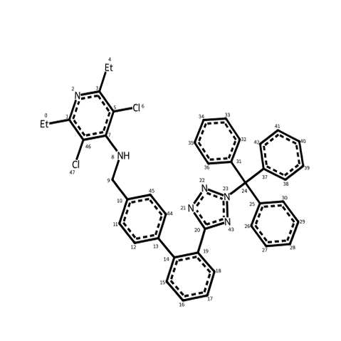 CCc1nc(CC)c(Cl)c(NCc2ccc(-c3ccccc3-c3nnn(C(c4ccccc4)(c4ccccc4)c4ccccc4)n3)cc2)c1Cl